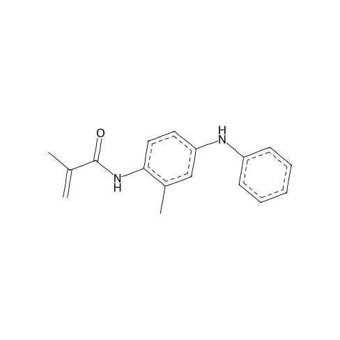 C=C(C)C(=O)Nc1ccc(Nc2ccccc2)cc1C